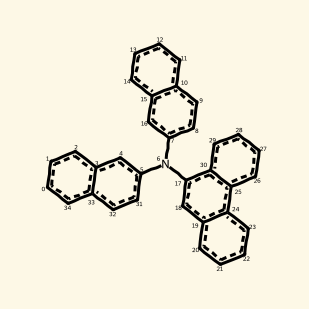 c1ccc2cc(N(c3ccc4ccccc4c3)c3cc4ccccc4c4ccccc34)ccc2c1